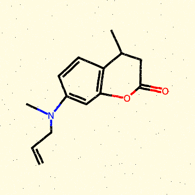 C=CCN(C)c1ccc2c(c1)OC(=O)CC2C